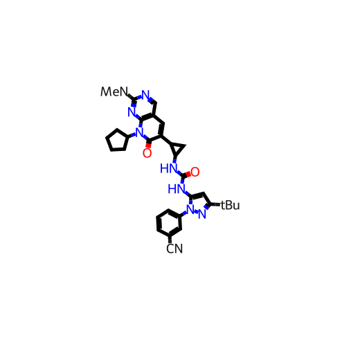 CNc1ncc2cc(C3CC3NC(=O)Nc3cc(C(C)(C)C)nn3-c3cccc(C#N)c3)c(=O)n(C3CCCC3)c2n1